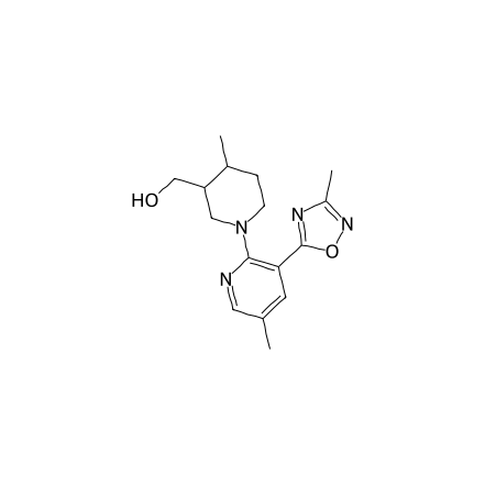 Cc1cnc(N2CCC(C)C(CO)C2)c(-c2nc(C)no2)c1